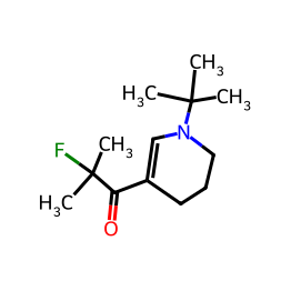 CC(C)(F)C(=O)C1=CN(C(C)(C)C)CCC1